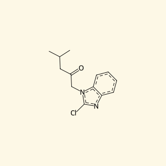 CC(C)CC(=O)Cn1c(Cl)nc2ccccc21